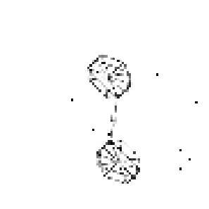 [Ni]([C]12[CH]3[CH]4[CH]5[CH]1[Fe]45321678[CH]2[CH]1[CH]6[CH]7[CH]28)[C]12[CH]3[CH]4[CH]5[CH]1[Fe]45321678[CH]2[CH]1[CH]6[CH]7[CH]28